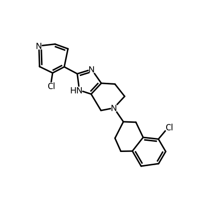 Clc1cnccc1-c1nc2c([nH]1)CN(C1CCc3cccc(Cl)c3C1)CC2